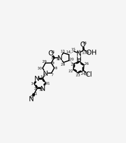 N#Cc1cnc(N2CCC(C(=O)N3C[C@H](CNC(=O)O)[C@H](c4ccc(Cl)cc4)C3)CC2)cn1